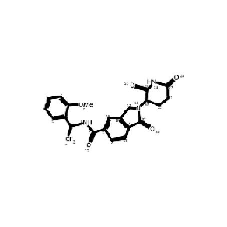 COc1ccccc1C(NC(=O)c1ccc2c(c1)CN(C1CCC(=O)NC1=O)C2=O)C(F)(F)F